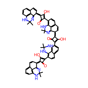 CC1(C)N=c2/c(=C3\C(=O)C(c4ccc5ccc(C6=C(O)/C(=c7\ccc8ccc(C9=C(O)/C(=c%10\ccc%11cccc%12c%11c%10=NC(C)(C)N%12)C9=O)c9c8c7=NC(C)(C)N9)C6=O)c6c5c4NC(C)(C)N6)=C3O)ccc3cccc(c23)N1